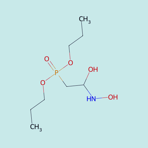 CCCOP(=O)(CC(O)NO)OCCC